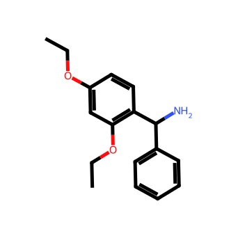 CCOc1ccc(C(N)c2ccccc2)c(OCC)c1